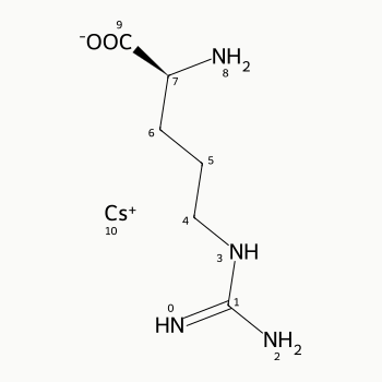 N=C(N)NCCC[C@H](N)C(=O)[O-].[Cs+]